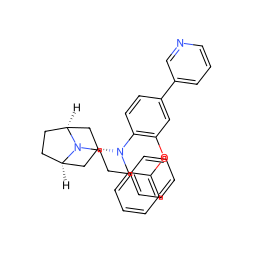 c1ccc(CCN2[C@@H]3CC[C@H]2C[C@H](N2c4ccccc4Oc4cc(-c5cccnc5)ccc42)C3)cc1